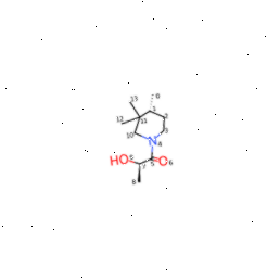 C[C@@H]1CCN(C(=O)[C@@H](C)O)CC1(C)C